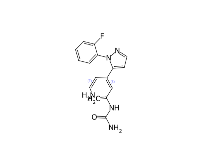 C=C(/C=C(\C=C/N)c1ccnn1-c1ccccc1F)NC(N)=O